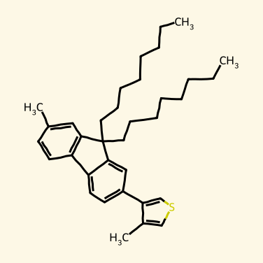 CCCCCCCCC1(CCCCCCCC)c2cc(C)ccc2-c2ccc(-c3cscc3C)cc21